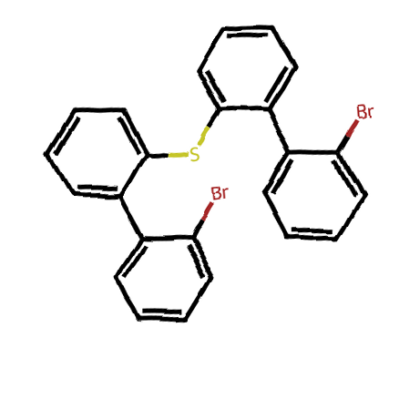 Brc1ccccc1-c1ccccc1Sc1ccccc1-c1ccccc1Br